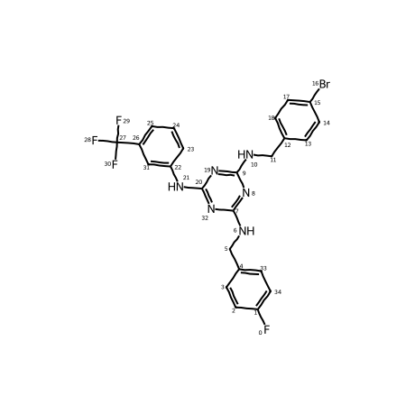 Fc1ccc(CNc2nc(NCc3ccc(Br)cc3)nc(Nc3cccc(C(F)(F)F)c3)n2)cc1